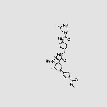 CC(C)n1nc(C(=O)NCc2ccc(NC(=O)N3CCN[C@H](C)C3)cc2)c2c1[C@@H](C)CN(c1ccc(C(=O)N(C)C)cc1)C2